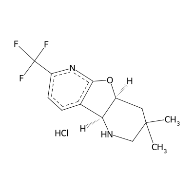 CC1(C)CN[C@H]2c3ccc(C(F)(F)F)nc3O[C@H]2C1.Cl